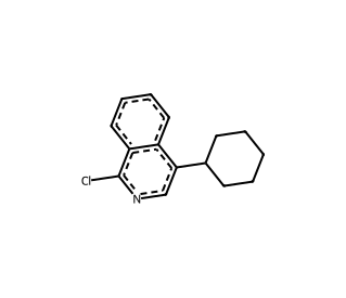 Clc1ncc(C2CCCCC2)c2ccccc12